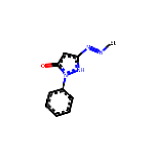 CCN=Nc1cc(=O)n(-c2ccccc2)[nH]1